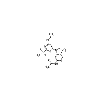 CCNc1cc(N2CC3(CC3)c3cnc(NC(C)=O)cc32)nc(C(C)(F)F)n1